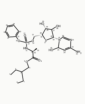 CCC(CC)COC(=O)[C@H](C)NP(=O)(OC[C@H]1S[C@@H](N2C=NC(N)=NC2O)C(O)[C@H]1O)Oc1ccccc1